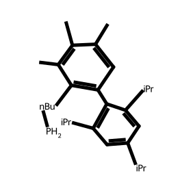 CCCCP.Cc1cc(-c2c(C(C)C)cc(C(C)C)cc2C(C)C)c(C)c(C)c1C